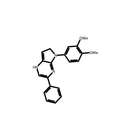 COc1ccc(N2CC=C3NC=C(c4ccccc4)N=C32)cc1OC